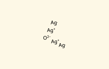 [Ag+].[Ag+].[Ag].[Ag].[O-2]